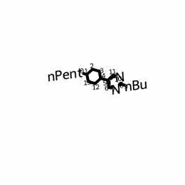 CCCCCC1CCC(c2cnc(CCCC)nc2)CC1